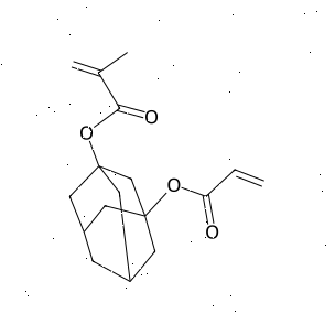 C=CC(=O)OC12CC3CC(C1)CC(OC(=O)C(=C)C)(C3)C2